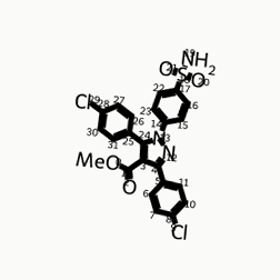 COC(=O)c1c(-c2ccc(Cl)cc2)nn(-c2ccc(S(N)(=O)=O)cc2)c1-c1ccc(Cl)cc1